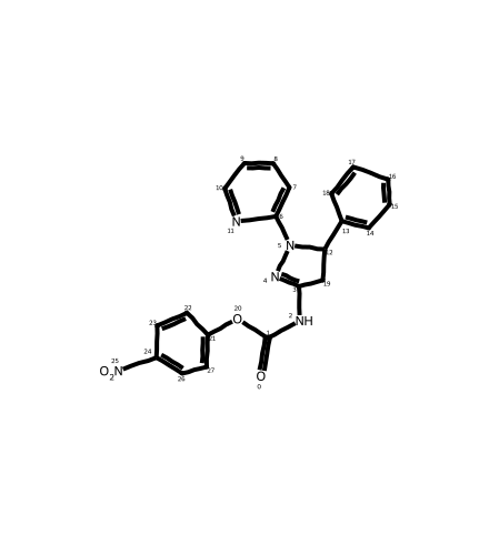 O=C(NC1=NN(c2ccccn2)C(c2ccccc2)C1)Oc1ccc([N+](=O)[O-])cc1